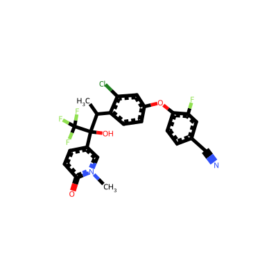 CC(c1ccc(Oc2ccc(C#N)cc2F)cc1Cl)C(O)(c1ccc(=O)n(C)c1)C(F)(F)F